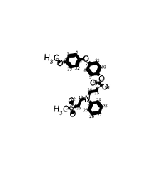 COc1ccc(Oc2ccc(OS(=O)(=O)CCN(CCS(C)(=O)=O)c3ccccc3)cc2)cc1